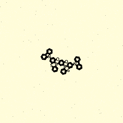 c1ccc2c(c1)Sc1cc(-n3c4ccccc4c4ccccc43)cc3c1B2c1cc2c(cc1O3)Oc1cc(-n3c4ccccc4c4ccccc43)cc3c1B2c1ccccc1S3